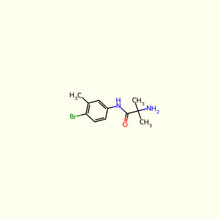 Cc1cc(NC(=O)C(C)(C)N)ccc1Br